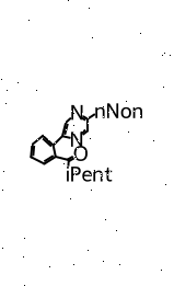 CCCCCCCCCc1cnc(-c2ccccc2C(=O)C(C)CCC)cn1